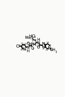 CSCC[C@H](CNC(=O)C(=O)Nc1ccc(Cl)cn1)NC(=O)c1nc2c(s1)CN(C)CC2.Cl